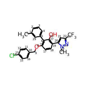 Cc1cccc(-c2c(OCc3ccc(Cl)cc3)ccc(-c3cc(C(F)(F)F)nn3C)c2O)c1